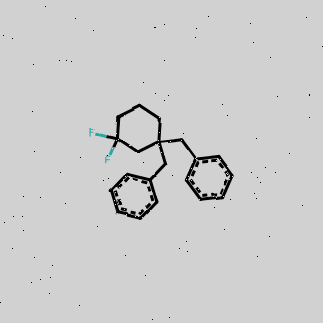 FC1(F)CCCC(Cc2ccccc2)(Cc2ccccc2)C1